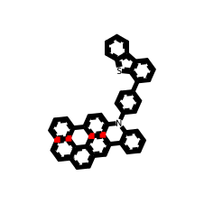 c1ccc(-c2ccc(N(c3ccc(-c4cccc5c4sc4ccccc45)cc3)c3ccccc3-c3ccc4c(ccc5ccccc54)c3)cc2)cc1